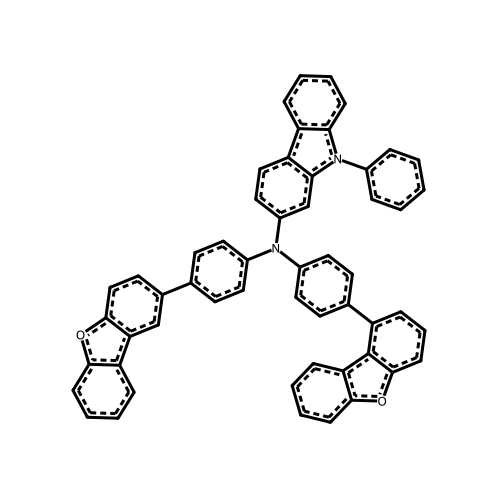 c1ccc(-n2c3ccccc3c3ccc(N(c4ccc(-c5ccc6oc7ccccc7c6c5)cc4)c4ccc(-c5cccc6oc7ccccc7c56)cc4)cc32)cc1